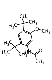 COc1cc(NC(C)=O)c(C(C)(C)C)cc1C(C)(C)C